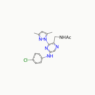 CC(=O)NCc1ncc(Nc2ccc(Cl)cc2)nc1-n1nc(C)cc1C